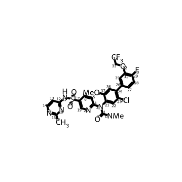 CNC(=O)N(c1ccc(S(=O)(=O)Nc2ccnc(C)n2)cn1)c1cc(Cl)c(-c2ccc(F)c(OCC(F)(F)F)c2)cc1OC